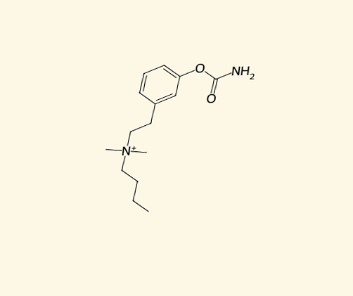 CCCC[N+](C)(C)CCc1cccc(OC(N)=O)c1